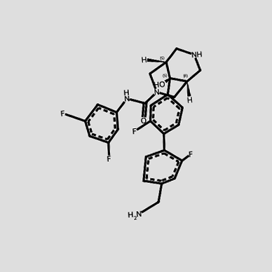 NCc1ccc(-c2ccc([C@@]3(O)[C@@H]4CNC[C@H]3CN(C(=O)Nc3cc(F)cc(F)c3)C4)cc2F)c(F)c1